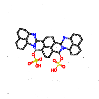 O=S(=O)(O)Oc1c2ccc3c(OS(=O)(=O)O)n4c5cccc6cccc(nc4c4ccc(c2c34)c2nc3cccc4cccc(c43)n12)c65